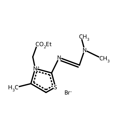 CCOC(=O)C[n+]1c(C)csc1/N=C/N(C)C.[Br-]